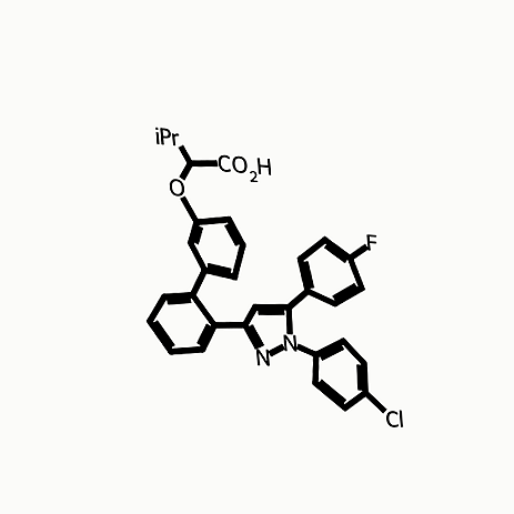 CC(C)C(Oc1cccc(-c2ccccc2-c2cc(-c3ccc(F)cc3)n(-c3ccc(Cl)cc3)n2)c1)C(=O)O